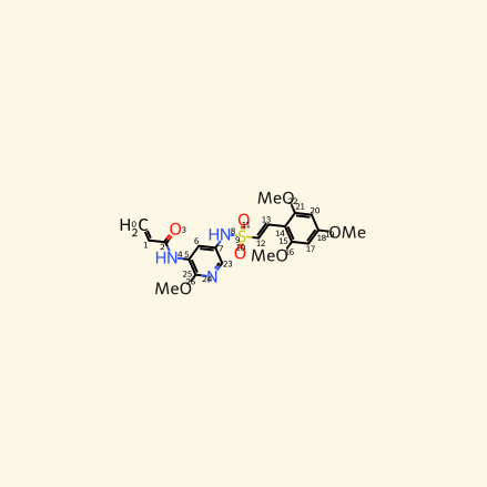 C=CC(=O)Nc1cc(NS(=O)(=O)/C=C/c2c(OC)cc(OC)cc2OC)cnc1OC